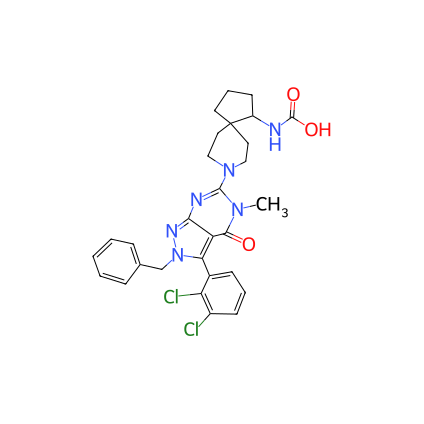 Cn1c(N2CCC3(CCCC3NC(=O)O)CC2)nc2nn(Cc3ccccc3)c(-c3cccc(Cl)c3Cl)c2c1=O